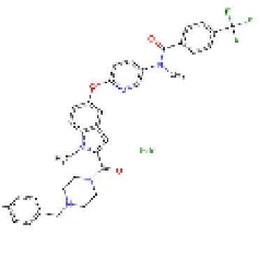 Br.CN(C(=O)c1ccc(C(F)(F)F)cc1)c1ccc(Oc2ccc3c(c2)cc(C(=O)N2CCN(Cc4ccc(F)cc4)CC2)n3C)nc1